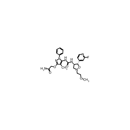 COCCN1C[C@@H](NC(=O)Nc2c(C)c(OCC(N)=O)nn2-c2ccccc2)[C@H](c2ccnc(F)c2)O1